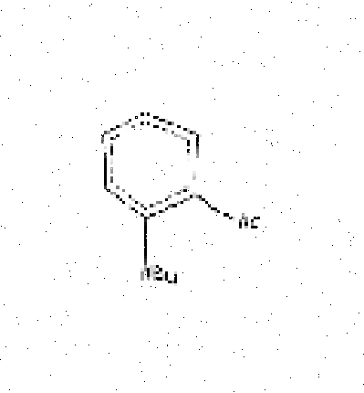 CCCCc1ccccc1C(C)=O